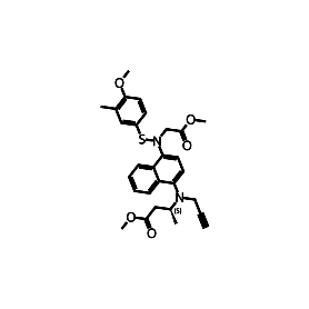 C#CCN(c1ccc(N(CC(=O)OC)Sc2ccc(OC)c(C)c2)c2ccccc12)[C@@H](C)CC(=O)OC